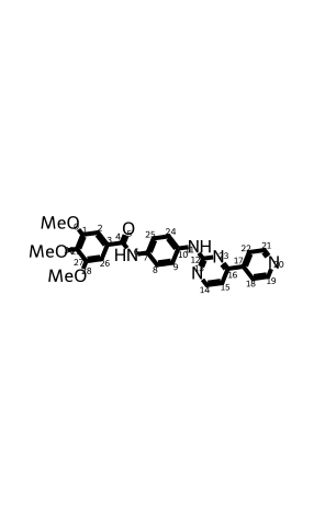 COc1cc(C(=O)Nc2ccc(Nc3nccc(-c4ccncc4)n3)cc2)cc(OC)c1OC